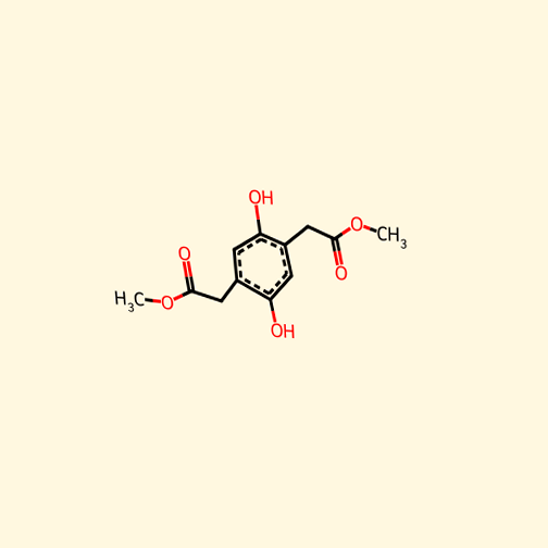 COC(=O)Cc1cc(O)c(CC(=O)OC)cc1O